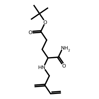 C=CC(=C)CNC(CCC(=O)OC(C)(C)C)C(N)=O